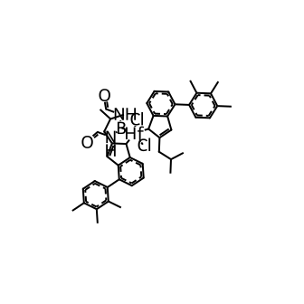 Cc1ccc(-c2cccc3c2C=C(CC(C)C)[CH]3[Hf]([Cl])([Cl])([B](NC=O)NC=O)[CH]2C(CC(C)C)=Cc3c(-c4ccc(C)c(C)c4C)cccc32)c(C)c1C